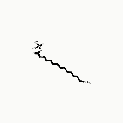 CCCCCCCCCCCCCCCCCCCCCCCC(=O)OP(=O)(O)O